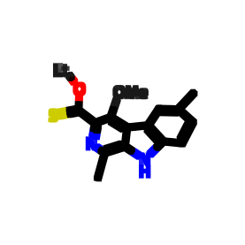 CCOC(=S)c1nc(C)c2[nH]c3ccc(C)cc3c2c1OC